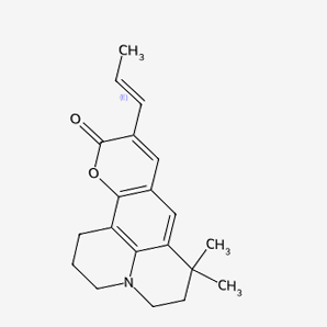 C/C=C/c1cc2cc3c4c(c2oc1=O)CCCN4CCC3(C)C